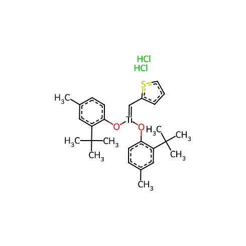 Cc1ccc([O][Ti](=[CH]c2cccs2)[O]c2ccc(C)cc2C(C)(C)C)c(C(C)(C)C)c1.Cl.Cl